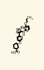 CCCOc1ccnc(Nc2c(-c3ccc(O[C@H]4CCC[C@H](C(=O)O)C4)cn3)nnn2C)n1